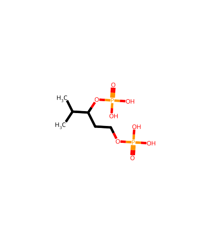 CC(C)C(CCOP(=O)(O)O)OP(=O)(O)O